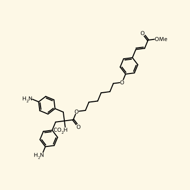 COC(=O)C=Cc1ccc(OCCCCCCOC(=O)C(Cc2ccc(N)cc2)(Cc2ccc(N)cc2)C(=O)O)cc1